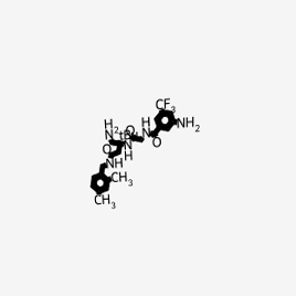 Cc1ccc(CNCCC(NC(=O)CNC(=O)c2cc(N)cc(C(F)(F)F)c2)(C(N)=O)C(C)(C)C)c(C)c1